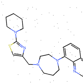 c1cnc2c(N3CCCN(Cc4csc(N5CCCCC5)n4)CC3)cccc2c1